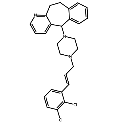 Clc1cccc(C=CCN2CCN(C3c4ccccc4CCc4ncccc43)CC2)c1Cl